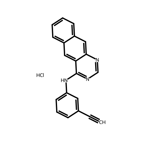 C#Cc1cccc(Nc2ncnc3cc4ccccc4cc23)c1.Cl